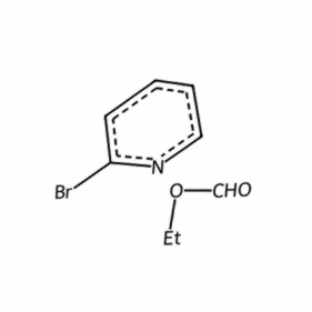 Brc1ccccn1.CCOC=O